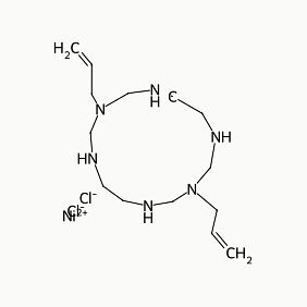 C=CCN1CNCCNCN(CC=C)CNCCNC1.[Cl-].[Cl-].[Ni+2]